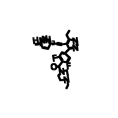 C=C(N)/C=C\C(C#Cc1c(CC)ncnc1-c1cc(F)c(C(=O)N2CCN(CC)CC2)c(F)c1)=C/N